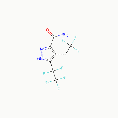 NC(=O)c1n[nH]c(C(F)(F)C(F)(F)F)c1CC(F)(F)F